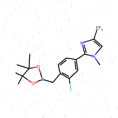 Cn1cc(C(F)(F)F)nc1-c1ccc(CB2OC(C)(C)C(C)(C)O2)c(F)c1